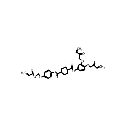 C=CC(=O)COc1ccc(OC(=O)C2CCC(C(=O)Oc3ccc(OCOC(=O)C=C)cc3)CC2)cc1OCC(=O)C=C